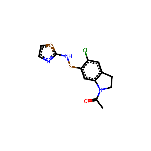 CC(=O)N1CCc2cc(Cl)c(SNc3nccs3)cc21